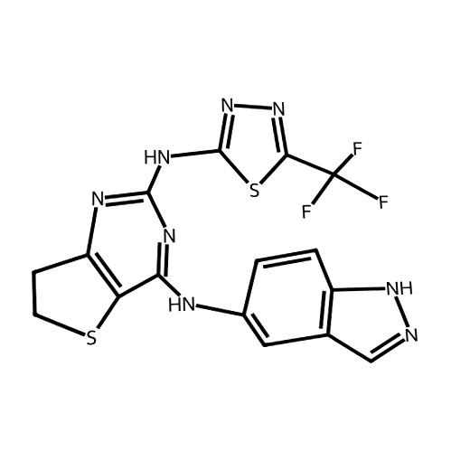 FC(F)(F)c1nnc(Nc2nc3c(c(Nc4ccc5[nH]ncc5c4)n2)SCC3)s1